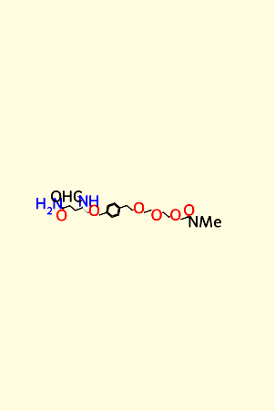 CNC(=O)COCCOCCOCCc1ccc(COC[C@H](CCC(N)=O)NC=O)cc1